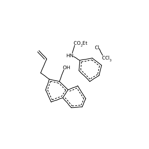 C=CCc1ccc2ccccc2c1O.CCOC(=O)Nc1ccccc1.ClC(Cl)(Cl)Cl